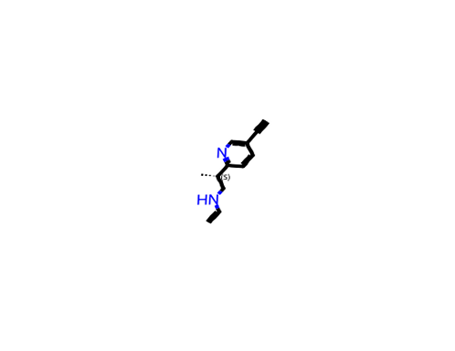 C#Cc1ccc([C@@H](C)CNC=C)nc1